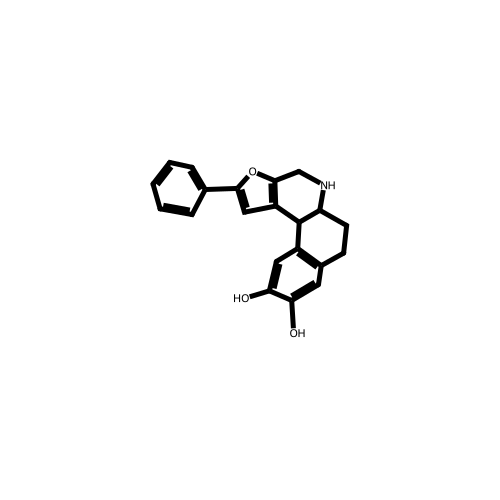 Oc1cc2c(cc1O)C1c3cc(-c4ccccc4)oc3CNC1CC2